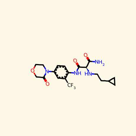 NC(=O)[C@@H](NCCC1CC1)C(=O)Nc1ccc(N2CCOCC2=O)cc1C(F)(F)F